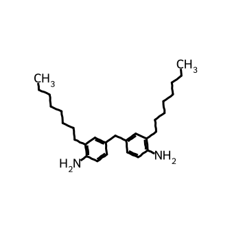 CCCCCCCCc1cc(Cc2ccc(N)c(CCCCCCCC)c2)ccc1N